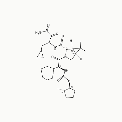 C[C@H]1CCC[C@@H]1OC(=O)N[C@H](C(=O)N1C[C@H]2[C@@H]([C@H]1C(=O)NC(CC1CC1)C(=O)C(N)=O)C2(C)C)C1CCCCC1